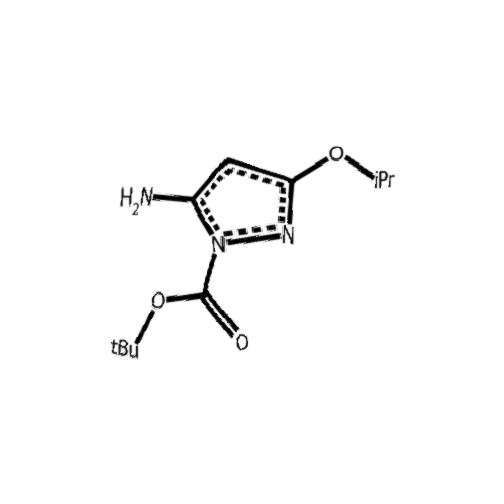 CC(C)Oc1cc(N)n(C(=O)OC(C)(C)C)n1